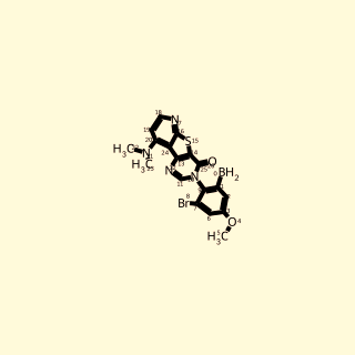 Bc1cc(OC)cc(Br)c1-n1cnc2c(sc3nccc(N(C)C)c32)c1=O